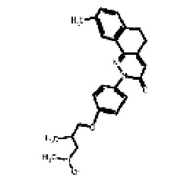 Cc1ccc2c(c1)-c1nn(-c3ccc(OCC(C)CN(C)C)cc3)c(=O)cc1CC2